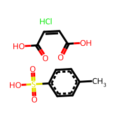 Cc1ccc(S(=O)(=O)O)cc1.Cl.O=C(O)/C=C\C(=O)O